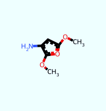 COc1cc(N)c(OC)o1